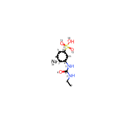 CCNC(=O)Nc1cccc(S(=O)(=O)O)c1.[Na]